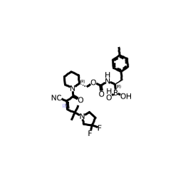 Cc1ccc(C[C@H](NC(=O)OC[C@H]2CCCCN2C(=O)/C(C#N)=C\C(C)(C)N2CCC(F)(F)C2)B(O)O)cc1